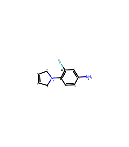 Nc1ccc(N2CC=CC2)c(F)c1